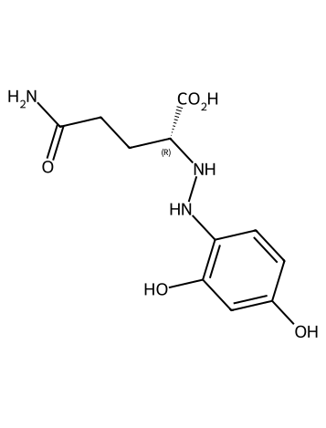 NC(=O)CC[C@@H](NNc1ccc(O)cc1O)C(=O)O